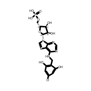 O=P(O)(O)OC[C@H]1O[C@@H](n2cnc3c(NCc4c(O)cc(Cl)cc4O)ncnc32)[C@H](O)[C@@H]1O